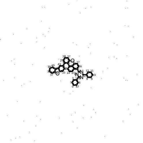 c1ccc(-c2nc(-c3ccccc3)nc(-c3ccc4c5c(cccc35)-c3c(cccc3-c3ccc5oc6ccccc6c5c3)O4)n2)cc1